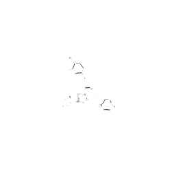 CC(C)(C)[Si](C)(C)O[C@@H]1C[C@@H](CSc2ccncc2)N(C(=O)OCc2ccc([N+](=O)[O-])cc2)C1